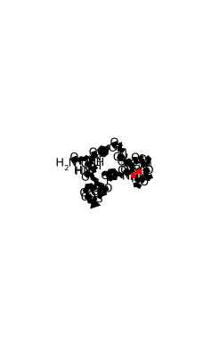 CC[C@H](C)[C@@H]([C@@H](CC(=O)N1C[C@@H](OC(=O)N(C)CCN(C)C(=O)OCc2ccc(NC(=O)[C@H](CCCNC(N)=O)NC(=O)[C@@H](NC(=O)CCCCCN3C(=O)CC(SCC4(CC(=O)ON5C(=O)CCC5=O)CC4)C3=O)C(C)C)cc2)C[C@H]1[C@H](OC)[C@@H](C)C(=O)NCC(=O)c1ccc(OC)c(F)c1)OC)N(C)C(=O)[C@@H](NC(=O)[C@H](C(C)C)N(C)C)C(C)C